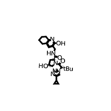 CC(C)(C)[C@@H](C(=O)N1C[C@H](O)C[C@H]1C(=O)NCc1cc2c(nc1O)CCCC2)n1cc(C2CC2)nn1